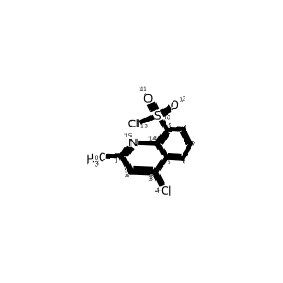 Cc1cc(Cl)c2cccc(S(=O)(=O)Cl)c2n1